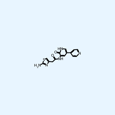 Nc1nc(CC(=O)Nc2cc(-c3ccncc3)c[nH]c2=O)cs1